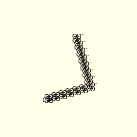 O=S(=O)([O-])[O-].O=S(=O)([O-])[O-].O=S(=O)([O-])[O-].O=S(=O)([O-])[O-].O=S(=O)([O-])[O-].O=S(=O)([O-])[O-].O=S(=O)([O-])[O-].O=S(=O)([O-])[O-].O=S(=O)([O-])[O-].O=S(=O)([O-])[O-].O=S(=O)([O-])[O-].O=S(=O)([O-])[O-].O=S(=O)([O-])[O-].O=S(=O)([O-])[O-].[Cu+2]